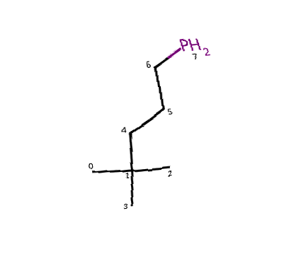 CC(C)(C)CCCP